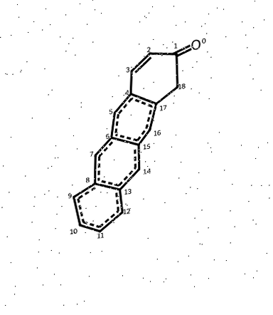 O=C1C=Cc2cc3cc4ccccc4cc3cc2C1